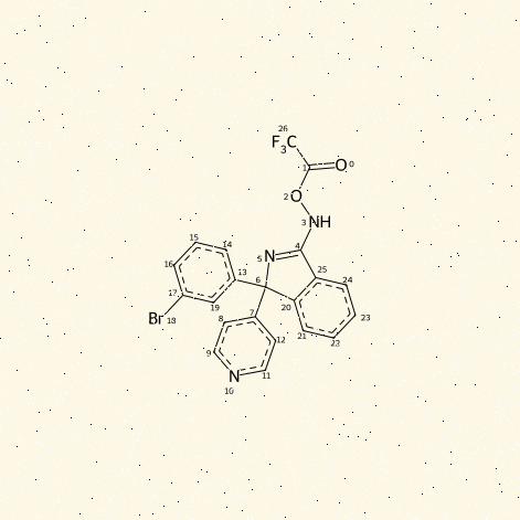 O=C(ONC1=NC(c2ccncc2)(c2cccc(Br)c2)c2ccccc21)C(F)(F)F